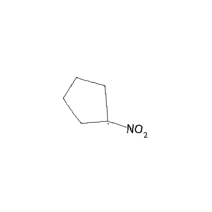 O=[N+]([O-])[C]1CCCC1